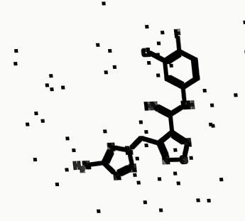 N=C(Nc1ccc(F)c(Cl)c1)c1nonc1Cn1nnc(N)n1